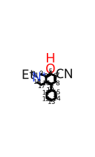 CC[N+]1=Cc2c(O)c(C#N)cc(-c3ccccc3)c2CC1